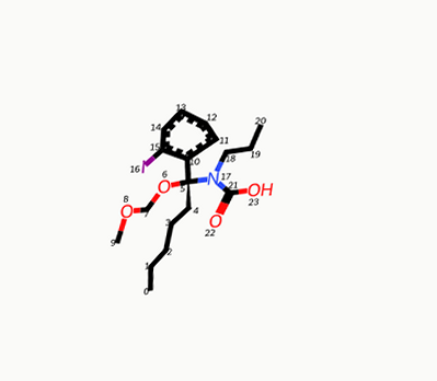 CCCCC[C@@](OCOC)(c1ccccc1I)N(CCC)C(=O)O